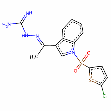 CC(=NNC(=N)N)c1cn(S(=O)(=O)c2ccc(Cl)s2)c2ccccc12